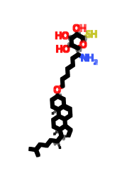 CC(C)CCC[C@@H](C)[C@H]1CCC2C3CC=C4C[C@H](OCCCCCCC(N)[C@H]5O[C@@H](S)[C@H](O)[C@@H](O)[C@H]5O)CC[C@]4(C)C3CC[C@@]21C